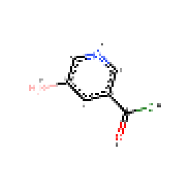 Bc1cncc(C(=O)Cl)c1